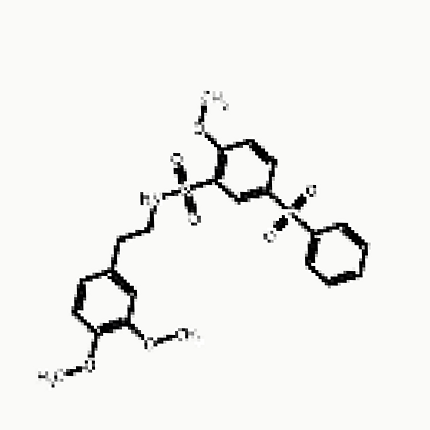 COc1ccc(CCNS(=O)(=O)c2cc(S(=O)(=O)c3ccccc3)ccc2OC)cc1OC